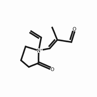 C=C[N+]1(C=C(C)C=O)CCCC1=O